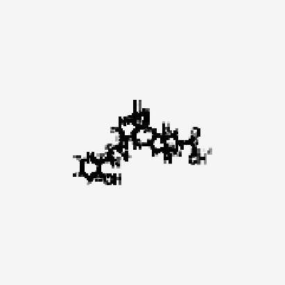 C[C@H](O)C(=O)N1C[C@H]2CC(Nc3c(-c4nnc(-c5ncccc5O)s4)cnc4[nH]ccc34)C[C@H]2C1